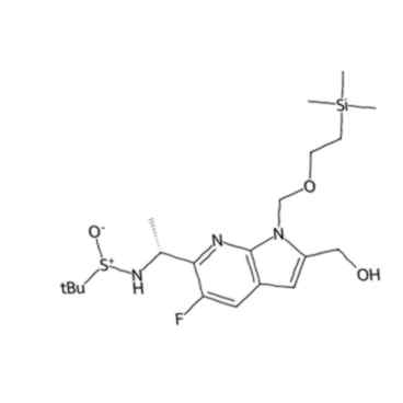 C[C@@H](N[S+]([O-])C(C)(C)C)c1nc2c(cc1F)cc(CO)n2COCC[Si](C)(C)C